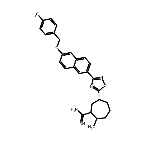 Cc1ccc(COc2ccc3cc(-c4noc([C@@H]5CCCC(C)C(C(=N)N)C5)n4)ccc3c2)cc1